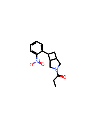 CCC(=O)N1CC2CC(c3ccccc3[N+](=O)[O-])C2C1